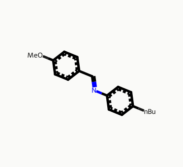 CCCCc1ccc(N=Cc2ccc(OC)cc2)cc1